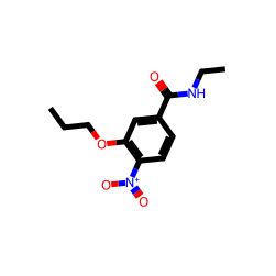 CCCOc1cc(C(=O)NCC)ccc1[N+](=O)[O-]